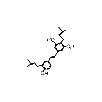 CC(C)=CCc1cc(C=Cc2cc(O)c(CC=C(C)C)c(O)c2)ccc1O